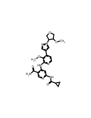 COc1c(-c2cnn(C3COCC3OC)c2)ccnc1Nc1cc(NC(=O)C2CC2)ncc1C(N)=O